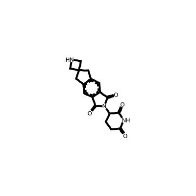 O=C1CCC(N2C(=O)c3cc4c(cc3C2=O)CC2(CNC2)C4)C(=O)N1